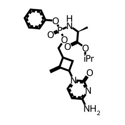 C=C1C(COP(=O)(N[C@@H](C)C(=O)OC(C)C)Oc2ccccc2)CC1n1ccc(N)nc1=O